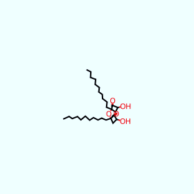 CCCCCCCCCCCC1(OC2(CCCCCCCCCCC)CC(O)C2=O)CC(O)C1=O